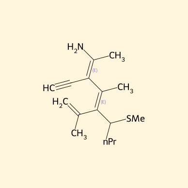 C#CC(=C(/C)N)/C(C)=C(\C(=C)C)C(CCC)SC